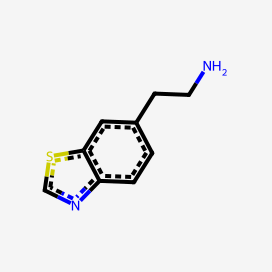 NCCc1ccc2ncsc2c1